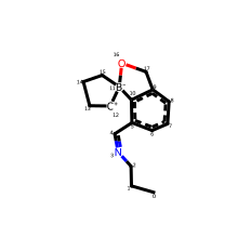 CCC/N=C\c1cccc2c1[B-]1([CH+]CCC1)OC2